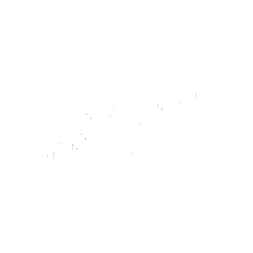 CC(C)(C)OC(=O)N[C@H]1CCc2cc(-c3nc4ccc(Cl)nn4c3-c3ccccc3)ccc21